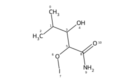 CC(C)C(O)C(OI)C(N)=O